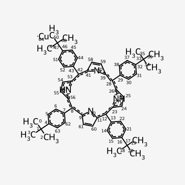 CC(C)(C)c1ccc(-c2c3nc(c(-c4ccc(C(C)(C)C)cc4)c4ccc([nH]4)c(-c4ccc(C(C)(C)C)cc4)c4nc(c(-c5ccc(C(C)(C)C)cc5)c5ccc2[nH]5)C=C4)C=C3)cc1.[Cu]